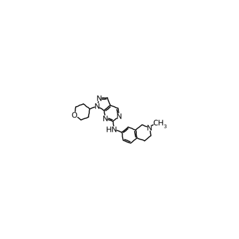 CN1CCc2ccc(Nc3ncc4cnn(C5CCOCC5)c4n3)cc2C1